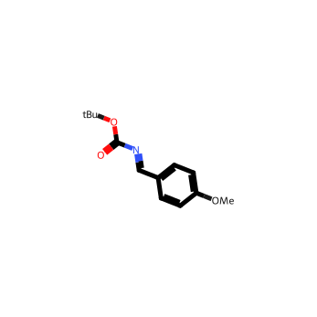 COc1ccc(/C=N/C(=O)OC(C)(C)C)cc1